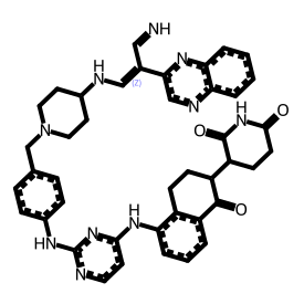 N=C/C(=C\NC1CCN(Cc2ccc(Nc3nccc(Nc4cccc5c4CCC(C4CCC(=O)NC4=O)C5=O)n3)cc2)CC1)c1cnc2ccccc2n1